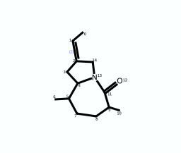 C/C=C1/CC2C(C)CCC(C)C(=O)N2C1